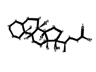 C[C@H](CCC(=O)O)[C@@]1(O)CC[C@H]2[C@@H]3CCC4CCCC[C@]4(C)[C@H]3CC[C@@]21C